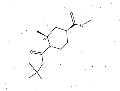 COC(=O)[C@H]1CCN(C(=O)OC(C)(C)C)[C@@H](C)C1